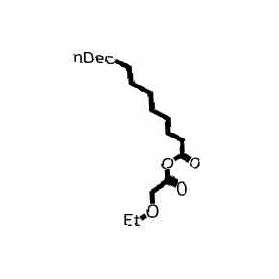 CCCCCCCCCCCCCCCCCC(=O)OC(=O)COCC